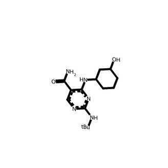 CC(C)(C)Nc1ncc(C(N)=O)c(NC2CCCC(O)C2)n1